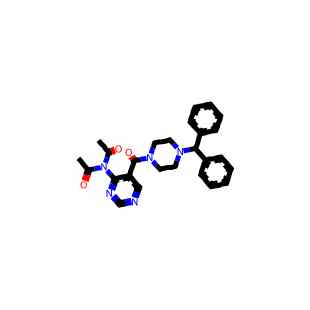 CC(=O)N(C(C)=O)c1ncncc1C(=O)N1CCN(C(c2ccccc2)c2ccccc2)CC1